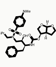 CNc1ccc(S(=O)(=O)N(CC(C)C)C[C@@H](O)[C@H](Cc2ccccc2)NC(=O)O[C@H]2CO[C@H]3OCC[C@H]32)cc1